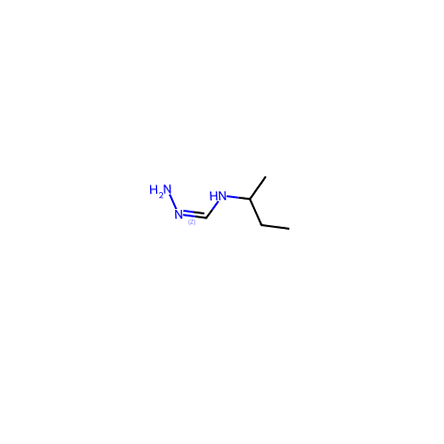 CCC(C)N/C=N\N